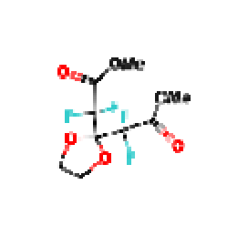 COC(=O)C(F)(F)C1(C(F)(F)C(=O)OC)OCCO1